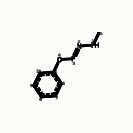 CPN=POc1ccccc1